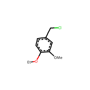 CCOc1ccc(CCl)cc1OC